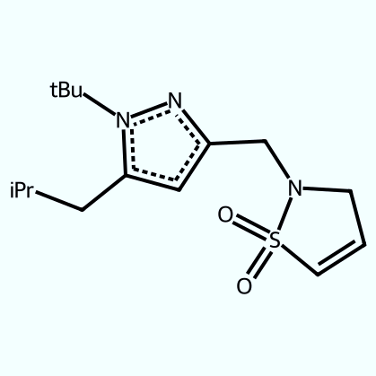 CC(C)Cc1cc(CN2CC=CS2(=O)=O)nn1C(C)(C)C